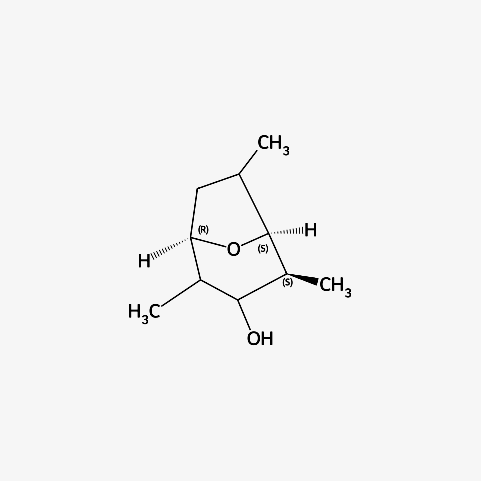 CC1C(O)[C@H](C)[C@H]2O[C@@H]1CC2C